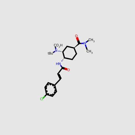 CN(C)C(=O)[C@H]1CC[C@H](NC(=O)/C=C/c2ccc(Cl)cc2)[C@H](N(C(=O)O)C(C)(C)C)C1